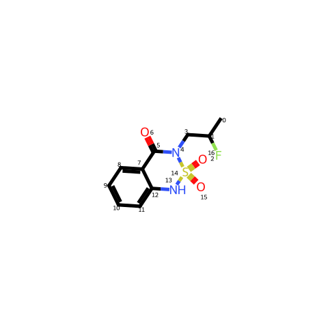 CC(F)CN1C(=O)c2ccccc2NS1(=O)=O